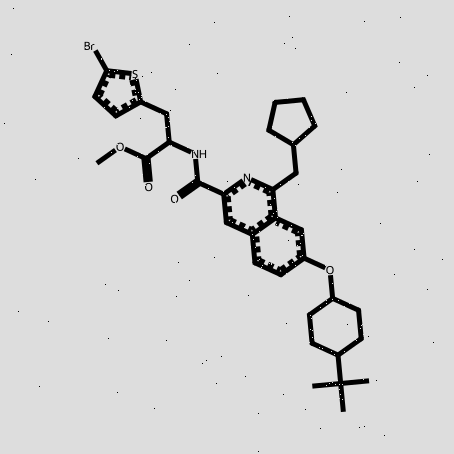 COC(=O)C(Cc1ccc(Br)s1)NC(=O)c1cc2ccc(OC3CCC(C(C)(C)C)CC3)cc2c(CC2CCCC2)n1